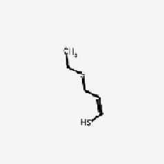 CCSC/C=C\S